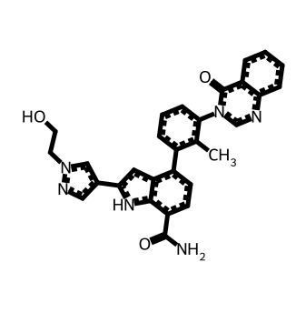 Cc1c(-c2ccc(C(N)=O)c3[nH]c(-c4cnn(CCO)c4)cc23)cccc1-n1cnc2ccccc2c1=O